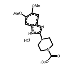 COc1cc2nc(N3CCN(C(=O)OCC(C)C)CC3)[nH]c2cc1OC.Cl